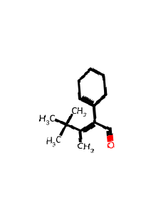 CC(=C(C=O)C1=CCCCC1)C(C)(C)C